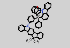 CC1C=CC=CC1n1c2ccccc2c2cccc([Si](c3ccccc3)(c3ccccc3)c3cccc(-n4c5ccccc5c5cc6c(cc54)-c4ccccc4C6(C)C)c3)c21